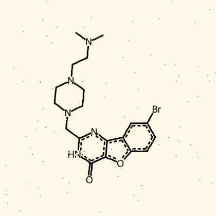 CN(C)CCN1CCN(Cc2nc3c(oc4ccc(Br)cc43)c(=O)[nH]2)CC1